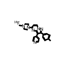 Cc1ccc(-c2nn3ccc(N4CCN(C[18F])CC4)nc3c2-c2ccncc2)cc1